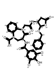 CCC(=O)N1C[C@H](NC(=O)c2cc(Cl)c(O)c(Cl)c2)C(=O)N(CC(=O)N[C@H]2CC(=O)OC2OCc2ccccc2)c2ccccc21